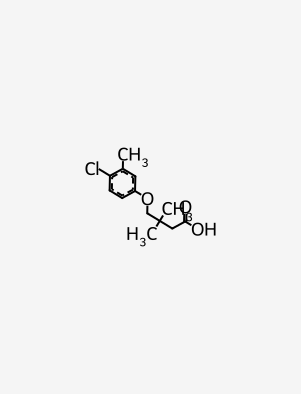 Cc1cc(OCC(C)(C)CC(=O)O)ccc1Cl